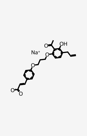 C=CCc1ccc(OCCCOc2ccc(/C=C/C(=O)[O-])cc2)c(C(C)=O)c1O.[Na+]